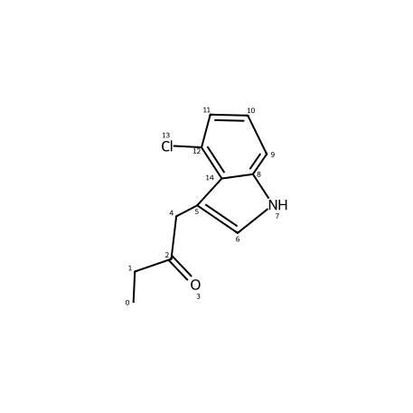 CCC(=O)Cc1c[nH]c2cccc(Cl)c12